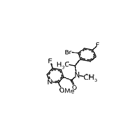 COc1ncc(F)cc1C(=O)N(C)C(C)c1ccc(F)cc1Br